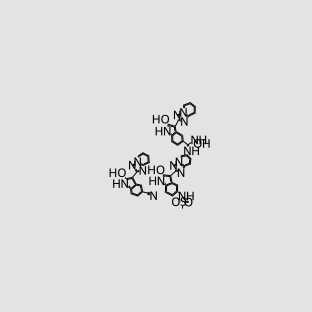 CS(=O)(=O)Nc1ccc2[nH]c(O)c(-c3nc4ccccn4n3)c2c1.N#Cc1ccc2[nH]c(O)c(-c3nc4ccccn4n3)c2c1.N=C(NO)c1ccc2[nH]c(O)c(-c3nc4ccccn4n3)c2c1